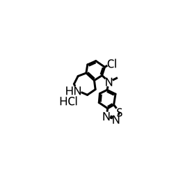 CN(c1ccc2nnsc2c1)c1c(Cl)ccc2c1CCNCC2.Cl